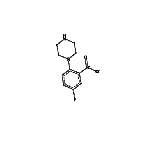 O=[N+]([O-])c1cc(F)ccc1N1CCNCC1